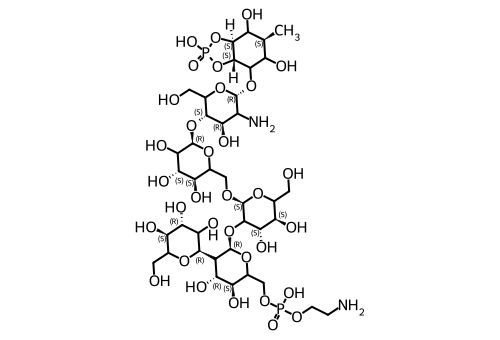 C[C@H]1C(O)C(O[C@H]2OC(CO)[C@@H](O[C@H]3OC(CO[C@H]4OC(CO)[C@@H](O)[C@H](O)C4O[C@H]4OC(COP(=O)(O)OCCN)[C@@H](O)[C@H](O)C4[C@H]4OC(CO)[C@@H](O)[C@H](O)C4O)[C@@H](O)[C@H](O)C3O)[C@H](O)C2N)[C@@H]2OP(=O)(O)O[C@H]2C1O